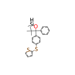 C[SiH](C)OC(c1ccccc1)(c1ccc(Sc2cccs2)cc1)C(C)(C)C